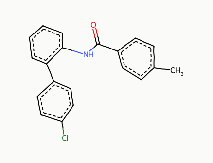 Cc1ccc(C(=O)Nc2ccccc2-c2ccc(Cl)cc2)cc1